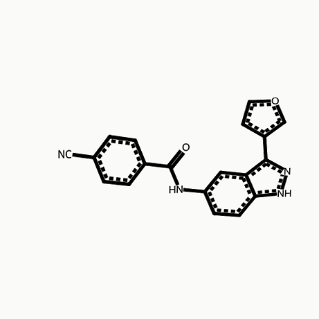 N#Cc1ccc(C(=O)Nc2ccc3[nH]nc(-c4ccoc4)c3c2)cc1